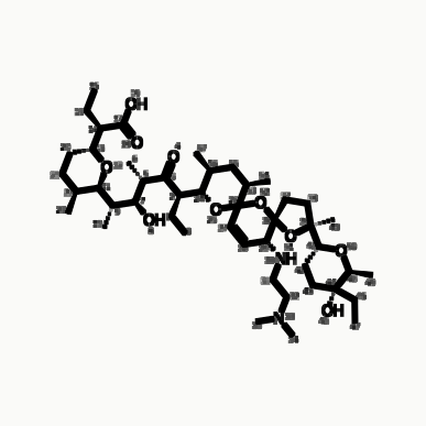 CC[C@@H](C(=O)[C@@H](C)[C@@H](O)[C@H](C)[C@@H]1O[C@@H]([C@@H](CC)C(=O)O)CC[C@@H]1C)[C@H]1OC2(C=C[C@@H](NCCN(C)C)[C@]3(CC[C@@](C)([C@H]4CC[C@](O)(CC)[C@H](C)O4)O3)O2)[C@H](C)C[C@@H]1C